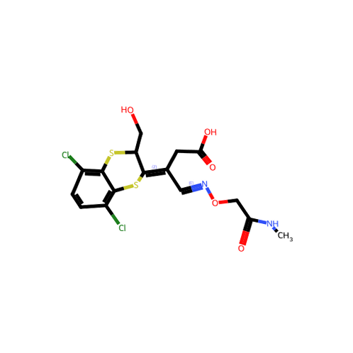 CNC(=O)CO/N=C/C(CC(=O)O)=C1\Sc2c(Cl)ccc(Cl)c2SC1CO